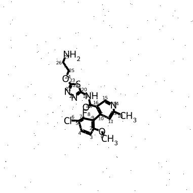 COc1ccc(Cl)c(F)c1-c1cc(C)ncc1C(=O)Nc1nnc(OCCN)s1